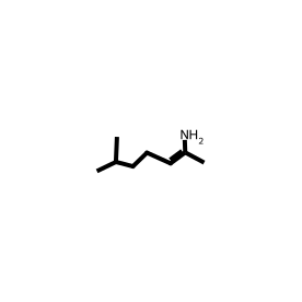 C/C(N)=C/CCC(C)C